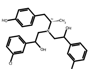 C[C@@H](Cc1ccc(O)cc1)N(CC(O)c1cccc(Cl)c1)CC(O)c1cccc(Cl)c1